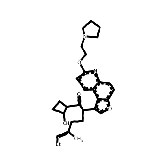 CC/C=C(\C)CCC(C(=O)C1CCC1C)c1coc2ccc3nc(OCCN4CCCC4)ccc3c12